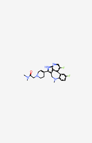 CN(C)C(=O)CN1CC=C(c2[nH]c3ncc(F)c4c3c2CN(C)c2ccc(F)cc2-4)CC1